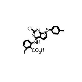 Cc1ccc(Sn2ccc3c(Nc4cccc(F)c4C(=O)O)nc(Cl)nc32)cc1